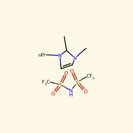 CCCN1C=CN(C)C1C.O=S(=O)(NS(=O)(=O)C(F)(F)F)C(F)(F)F